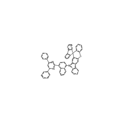 c1ccc(-c2cc(-c3ccccc3)nc(-c3ccc(-n4c5ccccc5c5cc6c(cc54)C4(c5ccccc5S6)c5ccccc5-c5ccccc54)c4ccccc34)n2)cc1